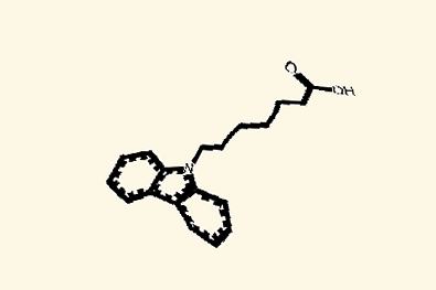 O=C(O)CCCCCCn1c2ccccc2c2ccccc21